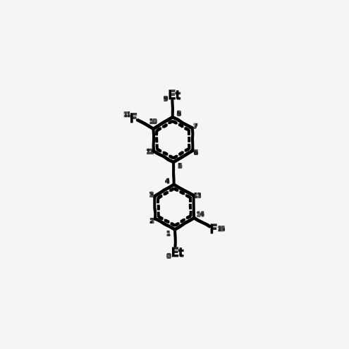 CCc1ccc(-c2ccc(CC)c(F)c2)cc1F